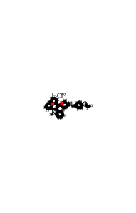 CCOc1ccc(CN=C2C=CC(=C(c3ccccc3)c3c(-c4ccccc4)n(C)c4ccccc34)C=C2)cc1.Cl